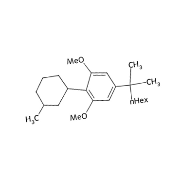 CCCCCCC(C)(C)c1cc(OC)c(C2CCCC(C)C2)c(OC)c1